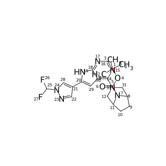 CC(C)(C)OC(=O)N1C2CCC1CN(c1ncnc3[nH]c(-c4cnn(C(F)F)c4)cc13)C2